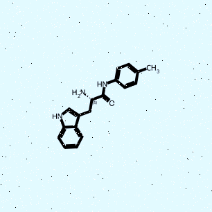 Cc1ccc(NC(=O)[C@@H](N)Cc2c[nH]c3ccccc23)cc1